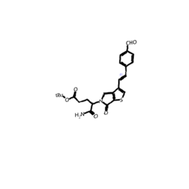 CC(C)(C)OC(=O)CCC(C(N)=O)N1Cc2c(/C=C/c3ccc(C=O)cc3)csc2C1=O